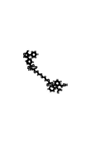 Cc1onc(-c2ccc(S(=O)(=O)NC(=O)OCCSSCCOC(=O)O[C@]3(c4cccc(CO)c4)CCCC[C@@H]3CN(C)C)cc2)c1-c1ccccc1